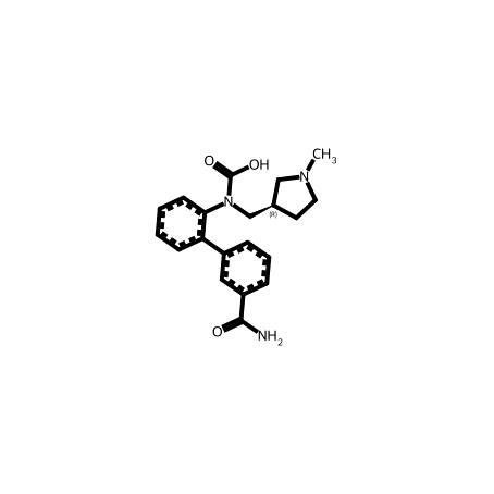 CN1CC[C@@H](CN(C(=O)O)c2ccccc2-c2cccc(C(N)=O)c2)C1